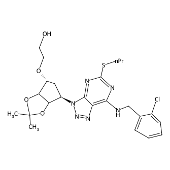 CCCSc1nc(NCc2ccccc2Cl)c2nnn([C@@H]3C[C@@H](OCCO)C4OC(C)(C)OC43)c2n1